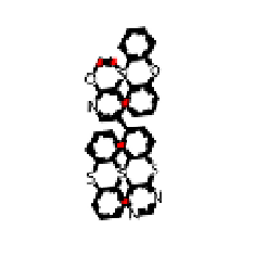 c1ccc2c(c1)Oc1ccccc1[Si]21c2ccccc2Oc2ncc(-c3ccc4c(c3)[Si]3(c5ccccc5Sc5ccccc53)c3cncnc3S4)cc21